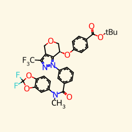 CN(C(=O)c1cccc(-n2nc(C(F)(F)F)c3c2[C@H](Oc2ccc(C(=O)OC(C)(C)C)cc2)COC3)c1)c1ccc2c(c1)OC(F)(F)O2